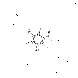 C=C(C)c1c(I)c(O)c(I)c(O)c1I